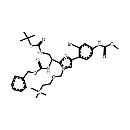 COC(=O)Nc1ccc(-c2cn(COCC[Si](C)(C)C)c(C(CNC(=O)OC(C)(C)C)NC(=O)OCc3ccccc3)n2)c(Br)c1